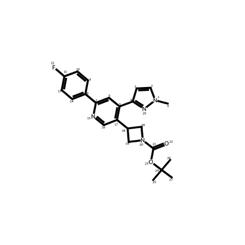 Cn1ccc(-c2cc(-c3ccc(F)cc3)ncc2C2CN(C(=O)OC(C)(C)C)C2)n1